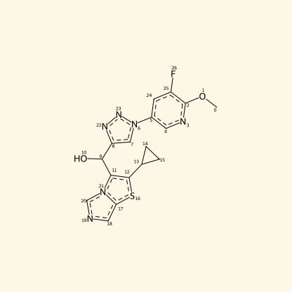 COc1ncc(-n2cc(C(O)c3c(C4CC4)sc4cncn34)nn2)cc1F